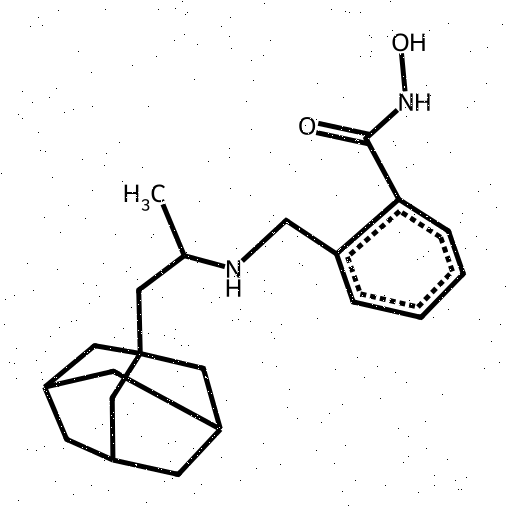 CC(CC12CC3CC(CC(C3)C1)C2)NCc1ccccc1C(=O)NO